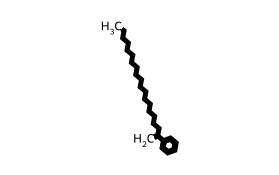 C=C(CCCCCCCCCCCCCCCCCC)c1ccccc1